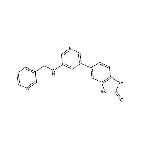 O=c1[nH]c2ccc(-c3cncc(NCc4cccnc4)c3)cc2[nH]1